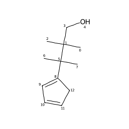 CC(C)(CO)C(C)(C)C1=CC=CC1